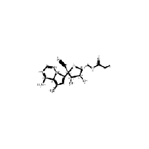 Bc1cc([C@]2(C#N)O[C@H](COC(=O)CC)[C@@H](O)[C@H]2O)n2ncnc(N)c12